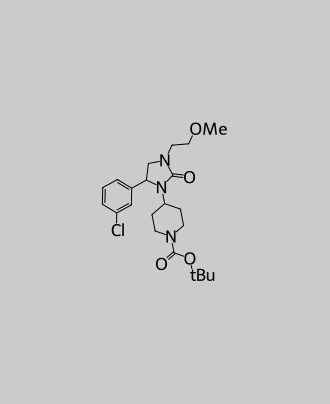 COCCN1CC(c2cccc(Cl)c2)N(C2CCN(C(=O)OC(C)(C)C)CC2)C1=O